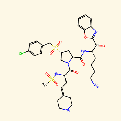 CS(=O)(=O)N[C@H](CC=C1CCNCC1)C(=O)N1C[C@H](S(=O)(=O)Cc2ccc(Cl)cc2)C[C@H]1C(=O)N[C@@H](CCCCN)C(=O)c1nc2ccccc2o1